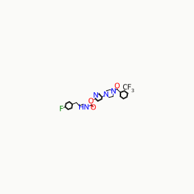 O=C(NCCCc1ccc(F)cc1)Oc1ccc(N2CCN(C(=O)c3ccccc3C(F)(F)F)CC2)cn1